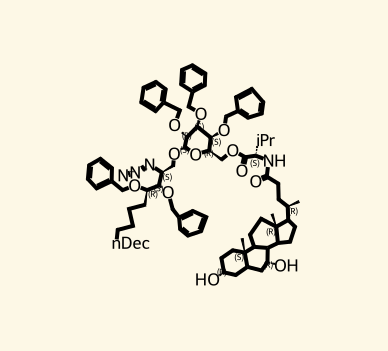 CCCCCCCCCCCCCC[C@@H](OCc1ccccc1)[C@@H](OCc1ccccc1)[C@H](CO[C@H]1O[C@H](COC(=O)[C@@H](NC(=O)CC[C@@H](C)C2CCC3C4C(CC[C@@]32C)[C@@]2(C)CC[C@@H](O)CC2C[C@H]4O)C(C)C)[C@H](OCc2ccccc2)[C@H](OCc2ccccc2)[C@H]1OCc1ccccc1)N=[N+]=[N-]